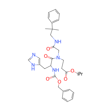 CC(C)OC(=O)CCN(CC(=O)NCC(C)(C)c1ccccc1)C(=O)C(Cc1cnc[nH]1)NC(=O)OCc1ccccc1